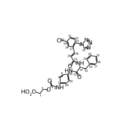 O=C(O)CCOC(=O)Nc1ccc(NC(=O)[C@H](Cc2ccccc2)NC(=O)/C=C/c2cc(Cl)ccc2-n2cnnn2)cc1